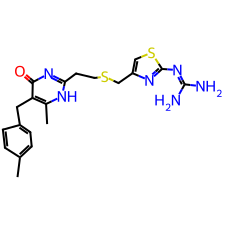 Cc1ccc(Cc2c(C)[nH]c(CCSCc3csc(N=C(N)N)n3)nc2=O)cc1